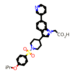 CC(C)Oc1ccc(S(=O)(=O)N2CCC(c3cn(CC(=O)O)c4cc(-c5cccnc5)ccc34)CC2)cc1